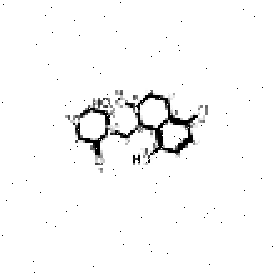 O=C1COCCN1C[C@@H]1c2c(O)ccc(Cl)c2CCN1C(=O)O